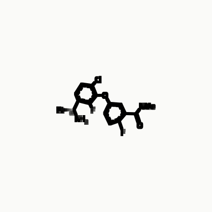 CC[C@@H](N)c1ccc(Cl)c(Oc2ccc(F)c(C(=O)NC)c2)c1F